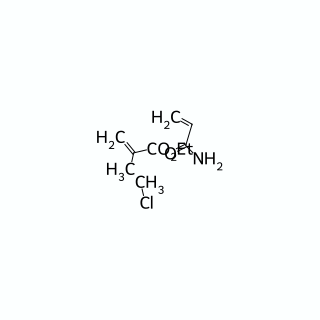 C=C(C)C(=O)OCC.C=CC(N)=O.CCl